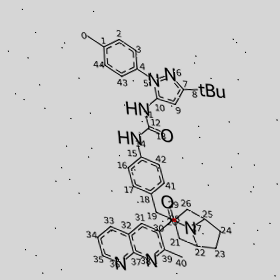 Cc1ccc(-n2nc(C(C)(C)C)cc2NC(=O)Nc2ccc(CC3CC4CCC(C3)N4C(=O)c3cc4cccnc4nc3C)cc2)cc1